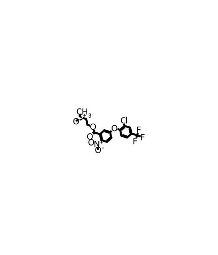 C[S+]([O-])CCOC(=O)c1cc(Oc2ccc(C(F)(F)F)cc2Cl)ccc1[N+](=O)[O-]